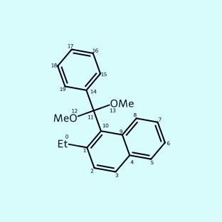 CCc1ccc2ccccc2c1C(OC)(OC)c1ccccc1